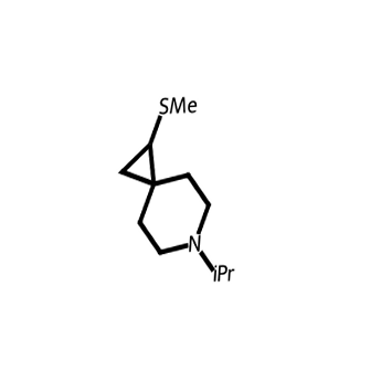 CSC1CC12CCN(C(C)C)CC2